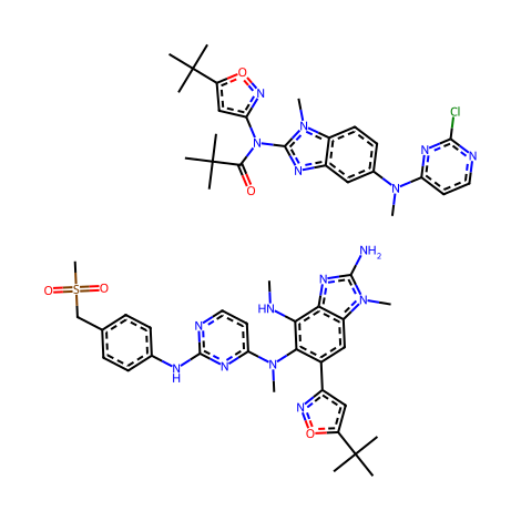 CN(c1ccc2c(c1)nc(N(C(=O)C(C)(C)C)c1cc(C(C)(C)C)on1)n2C)c1ccnc(Cl)n1.CNc1c(N(C)c2ccnc(Nc3ccc(CS(C)(=O)=O)cc3)n2)c(-c2cc(C(C)(C)C)on2)cc2c1nc(N)n2C